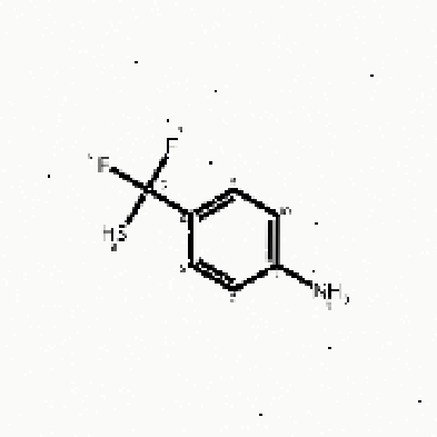 Nc1ccc(C(F)(F)S)cc1